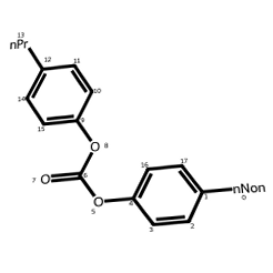 CCCCCCCCCc1ccc(OC(=O)Oc2ccc(CCC)cc2)cc1